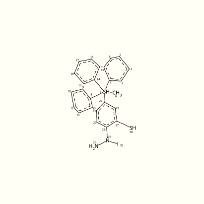 C[SH](c1ccccc1)(c1ccccc1)(c1ccccc1)c1ccc(N(N)I)c(S)c1